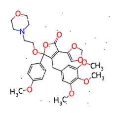 COc1ccc(C2(OCCN3CCOCC3)OC(=O)C(C3=COCO3)=C2Cc2cc(OC)c(OC)c(OC)c2)cc1